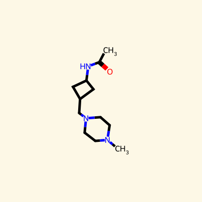 CC(=O)NC1CC(CN2CCN(C)CC2)C1